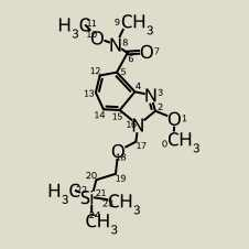 COc1nc2c(C(=O)N(C)OC)cccc2n1COCC[Si](C)(C)C